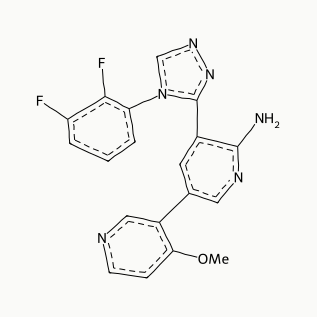 COc1ccncc1-c1cnc(N)c(-c2nncn2-c2cccc(F)c2F)c1